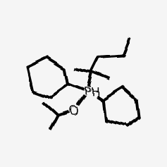 CCCC(C)(C)[PH](OC(C)C)(C1CCCCC1)C1CCCCC1